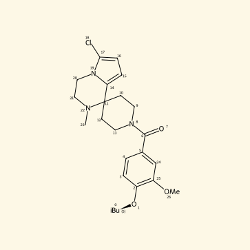 CC[C@H](C)Oc1ccc(C(=O)N2CCC3(CC2)c2ccc(Cl)n2CCN3C)cc1OC